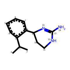 CC(C)c1ccccc1C1CCNC(N)=N1